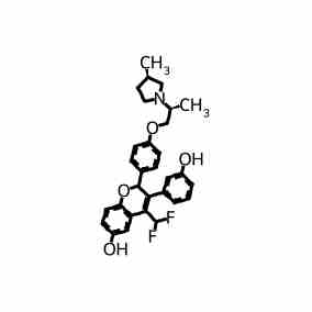 C[C@@H]1CCN([C@@H](C)COc2ccc(C3Oc4ccc(O)cc4C(C(F)F)=C3c3cccc(O)c3)cc2)C1